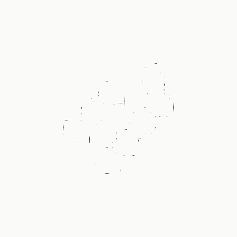 c1cc2ccc3cc4cc5cccc6c7cccc8cc9ccc%10c(c1)c2c3c1c4c(c56)c(c87)c9c%101